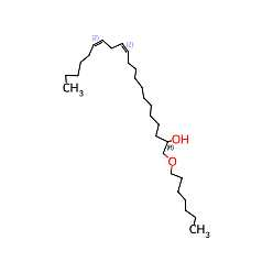 CCCCC/C=C\C/C=C\CCCCCCCCC[C@@H](O)COCCCCCCC